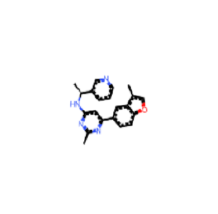 Cc1nc(N[C@@H](C)c2cccnc2)cc(-c2ccc3occ(C)c3c2)n1